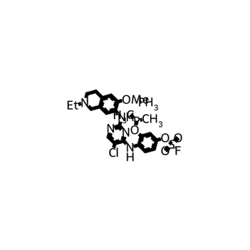 CCN1CCc2cc(OC)c(Nc3ncc(Cl)c(Nc4ccc(OS(=O)(=O)F)cc4OP(C)C)n3)cc2C1.P